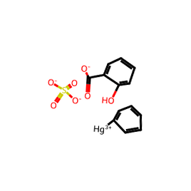 O=C([O-])c1ccccc1O.O=S(=O)([O-])[O-].[Hg+3][c]1ccccc1